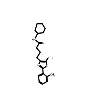 Cc1ccccc1-c1nc(CCCC(=O)NC2CCCCC2)c(C)o1